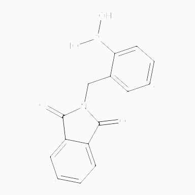 O=C1c2ccccc2C(=O)N1Cc1ccccc1B(O)O